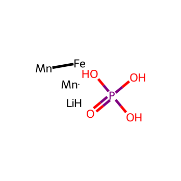 O=P(O)(O)O.[LiH].[Mn].[Mn][Fe]